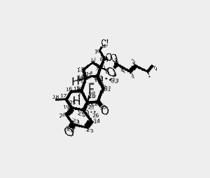 CCCCC(=O)O[C@]1(C(=O)CCl)CC[C@H]2[C@@H]3CC(C)C4=CC(=O)C=C[C@]4(C)[C@@]3(F)C(=O)C[C@@]21C